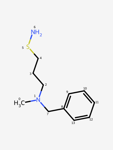 CN(CCCSN)Cc1ccccc1